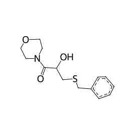 O=C(C(O)CSCc1ccccc1)N1CCOCC1